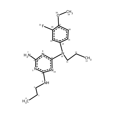 CCCNc1nc(N)nc(N(CCC)c2ccc(OC)c(F)c2)n1